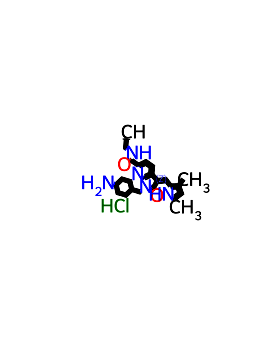 C#CCNC(=O)c1ccc2c(n1)N(CC1CCC(N)CC1)C(=O)/C2=C\c1[nH]c(C)cc1C.Cl